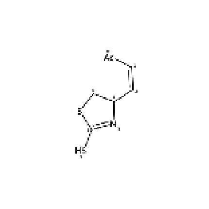 CC(=O)/C=C\C1CSC(S)=N1